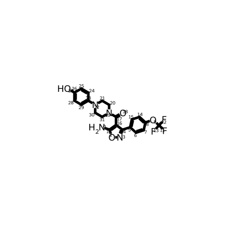 Nc1onc(-c2ccc(OC(F)(F)F)cc2)c1C(=O)N1CCN(c2ccc(O)cc2)CC1